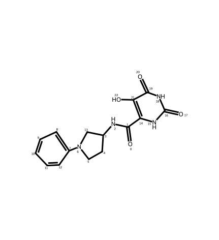 O=C(NC1CCN(c2ccccc2)C1)c1[nH]c(=O)[nH]c(=O)c1O